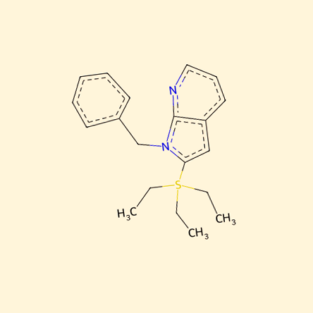 CCS(CC)(CC)c1cc2cccnc2n1Cc1ccccc1